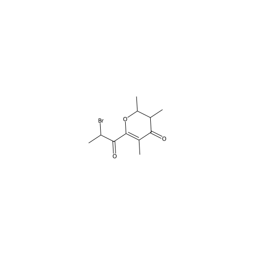 CC1=C(C(=O)C(C)Br)OC(C)C(C)C1=O